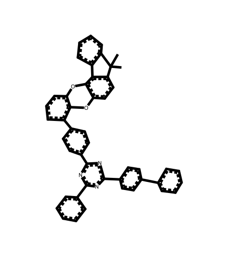 CC1(C)c2ccccc2-c2c1ccc1c2Oc2cccc(-c3ccc(-c4nc(-c5ccccc5)nc(-c5ccc(-c6ccccc6)cc5)n4)cc3)c2O1